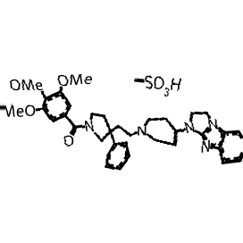 COc1cc(C(=O)N2CCC(CCN3CCC(N4CCn5c4nc4ccccc45)CC3)(c3ccccc3)C2)cc(OC)c1OC.CS(=O)(=O)O